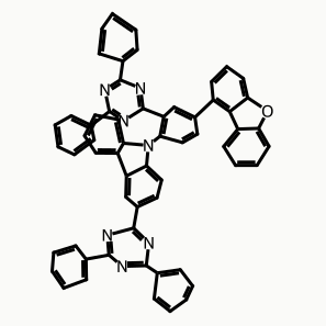 c1ccc(-c2nc(-c3ccccc3)nc(-c3ccc4c(c3)c3ccccc3n4-c3ccc(-c4cccc5oc6ccccc6c45)cc3-c3nc(-c4ccccc4)nc(-c4ccccc4)n3)n2)cc1